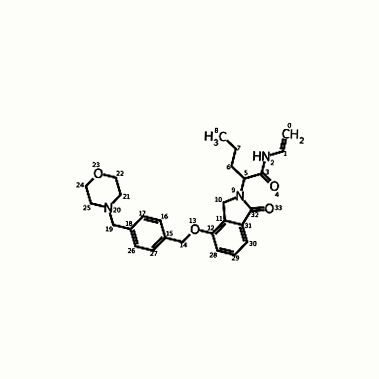 C=CNC(=O)C(CCC)N1Cc2c(OCc3ccc(CN4CCOCC4)cc3)cccc2C1=O